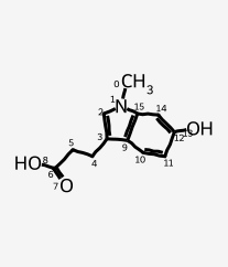 Cn1cc(CCC(=O)O)c2ccc(O)cc21